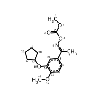 COC(=O)ON=C(C)c1ccc(OC)c(OC2CCCC2)c1